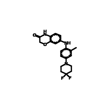 Cc1cc(N2CCC(F)(F)CC2)ccc1Nc1ccc2c(c1)OCC(=O)N2